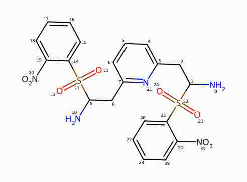 NC(Cc1cccc(CC(N)S(=O)(=O)c2ccccc2[N+](=O)[O-])n1)S(=O)(=O)c1ccccc1[N+](=O)[O-]